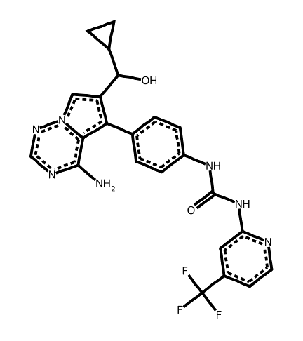 Nc1ncnn2cc(C(O)C3CC3)c(-c3ccc(NC(=O)Nc4cc(C(F)(F)F)ccn4)cc3)c12